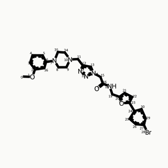 COc1cccc(N2CCN(Cc3cn(CC(=O)NCc4ccc(-c5ccc(Br)cc5)o4)nn3)CC2)c1